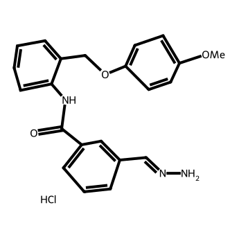 COc1ccc(OCc2ccccc2NC(=O)c2cccc(C=NN)c2)cc1.Cl